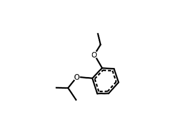 CCOc1ccccc1OC(C)C